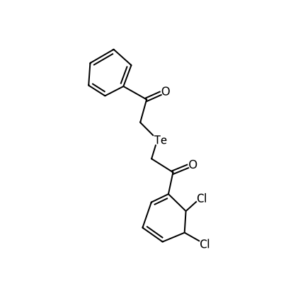 O=C(C[Te]CC(=O)c1ccccc1)C1=CC=CC(Cl)C1Cl